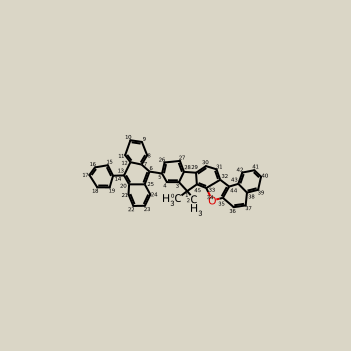 CC1(C)c2cc(-c3c4ccccc4c(-c4ccccc4)c4ccccc34)ccc2-c2ccc3c(oc4ccc5ccccc5c43)c21